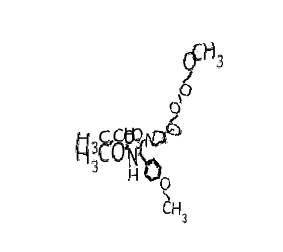 CCCOc1ccc([C@H](NC(=O)OC(C)(C)C)C(=O)N2CC[C@H](OCCOCCOCCOC)C2)cc1